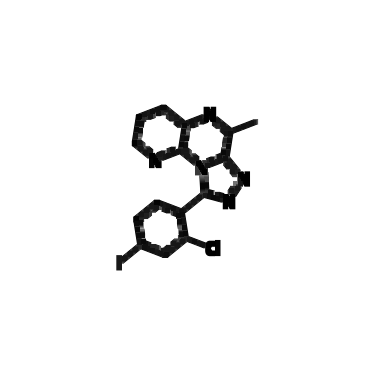 Cc1nc2cccnc2n2c(-c3ccc(I)cc3Cl)nnc12